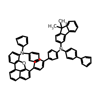 CC1(C)c2ccccc2-c2cc(N(c3ccc(-c4ccccc4)cc3)c3ccc(-c4ccc(-c5ccc6cccc7c6c5Oc5c-7cccc5N(c5ccccc5)c5ccccc5)cc4)cc3)ccc21